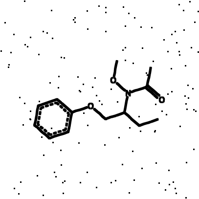 CCC(COc1ccccc1)N(OC)C(C)=O